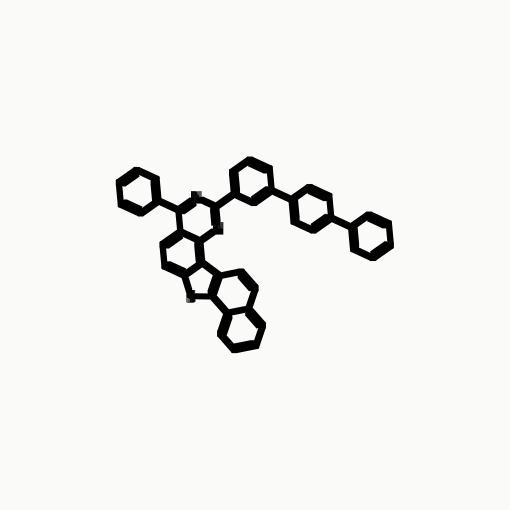 c1ccc(-c2ccc(-c3cccc(-c4nc(-c5ccccc5)c5ccc6sc7c8ccccc8ccc7c6c5n4)c3)cc2)cc1